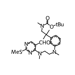 CSc1ncc(C=O)c(N(C)CCN(C)c2cccc(C(C)(C)CN(C)C(=O)OC(C)(C)C)c2)n1